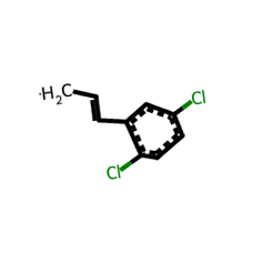 [CH2]C=Cc1cc(Cl)ccc1Cl